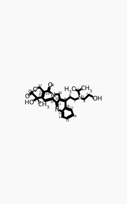 CC(C)N(CCO)CCc1c2c(nc3ccccc13)-c1cc3c(c(=O)n1C2)COC(=O)[C@@]3(C)O